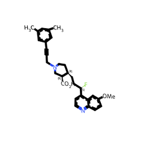 COc1ccc2nccc([C@@H](F)CC[C@@H]3CCN(CC#Cc4cc(C)cc(C)c4)C[C@@H]3C(=O)O)c2c1